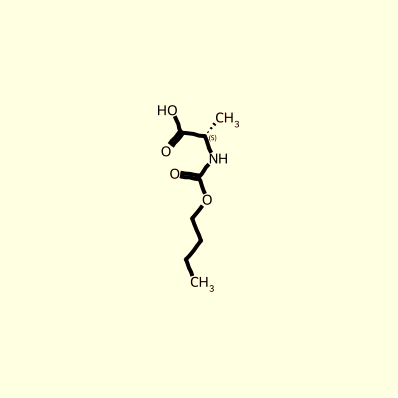 CCCCOC(=O)N[C@@H](C)C(=O)O